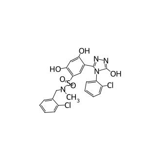 CN(Cc1ccccc1Cl)S(=O)(=O)c1cc(-c2nnc(O)n2-c2ccccc2Cl)c(O)cc1O